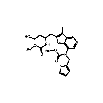 Cc1c(CC(CCO)NC(=O)OC(C)(C)C)sc2c(N(Cc3cccs3)C(=O)OC(C)(C)C)cnnc12